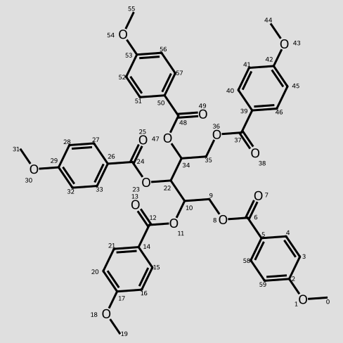 COc1ccc(C(=O)OCC(OC(=O)c2ccc(OC)cc2)C(OC(=O)c2ccc(OC)cc2)C(COC(=O)c2ccc(OC)cc2)OC(=O)c2ccc(OC)cc2)cc1